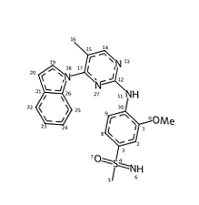 COc1cc(S(C)(=N)=O)ccc1Nc1ncc(C)c(-n2ccc3ccccc32)n1